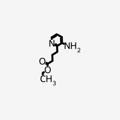 CCOC(=O)CCCc1ncccc1N